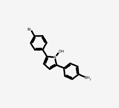 Bc1ccc(-c2ccc(-c3ccc(Br)cc3)n2O)cc1